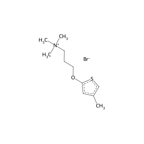 Cc1csc(OCCC[N+](C)(C)C)c1.[Br-]